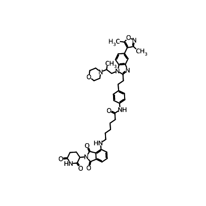 Cc1noc(C)c1-c1ccc2c(c1)nc(CCc1ccc(NC(=O)CCCCCNc3cccc4c3C(=O)N(C3CCC(=O)NC3=O)C4=O)cc1)n2CC(C)N1CCOCC1